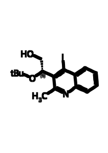 Cc1nc2ccccc2c(I)c1[C@@H](CO)OC(C)(C)C